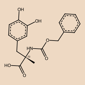 C[C@@](Cc1ccc(O)c(O)c1)(NC(=O)OCc1ccccc1)C(=O)O